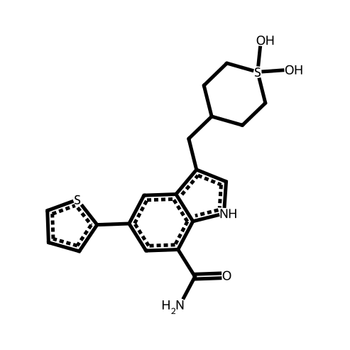 NC(=O)c1cc(-c2cccs2)cc2c(CC3CCS(O)(O)CC3)c[nH]c12